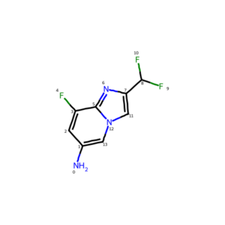 Nc1cc(F)c2nc(C(F)F)cn2c1